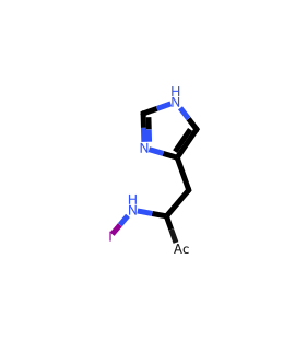 CC(=O)C(Cc1c[nH]cn1)NI